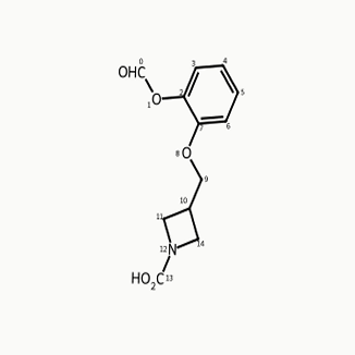 O=COc1ccccc1OCC1CN(C(=O)O)C1